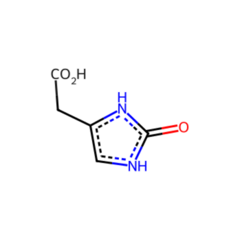 O=C(O)Cc1c[nH]c(=O)[nH]1